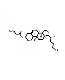 CC(C)CCC[C@@H](C)[C@H]1CC[C@H]2[C@@H]3CC=C4C[C@@H](OC(=O)CCN)CC[C@]4(C)[C@H]3CC[C@]12C